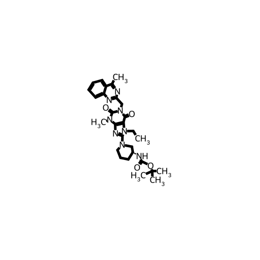 CCn1c(N2CCC[C@@H](NC(=O)OC(C)(C)C)C2)nc2c1c(=O)n(Cc1nc(C)c3ccccc3n1)c(=O)n2C